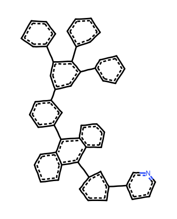 c1ccc(-c2cc(-c3cccc(-c4c5ccccc5c(-c5cccc(-c6cccnc6)c5)c5ccccc45)c3)cc(-c3ccccc3)c2-c2ccccc2)cc1